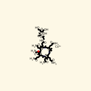 C/C1=C2N=C(/C=C3N=C(/C(C)=C4\[N-]C(C(CC(N)=O)C4(C)CCC(=O)NCC(C)OP(=O)([O-])OC4C(CO)OC(O)C4O)C4(C)N=C1C(CCC(N)=O)C4(C)CC(N)=O)C(CCC(N)=O)C\3(C)C)C(CCC(N)=O)C/2(C)CC(N)=O.[Co+3]